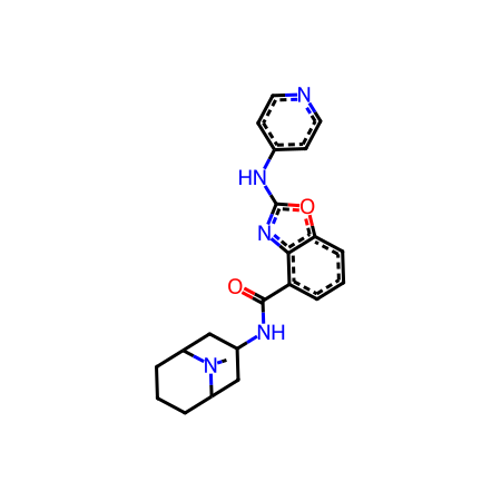 CN1C2CCCC1CC(NC(=O)c1cccc3oc(Nc4ccncc4)nc13)C2